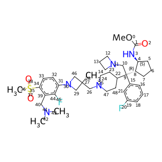 COC(=O)N[C@H]1CCC[C@@H]1C(CN1CCC1)(c1cccc(F)c1)C1CCN(CC2(C)CN(c3ccc(S(C)(=O)=O)c(CN(C)C)c3F)C2)CC1